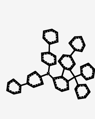 c1ccc(-c2ccc(N(c3ccc(-c4ccccc4)cc3)c3cccc4c3-c3ccc(-c5ccccc5)cc3C4(c3ccccc3)c3ccccc3)cc2)cc1